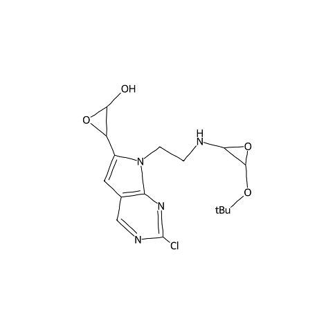 CC(C)(C)OC1OC1NCCn1c(C2OC2O)cc2cnc(Cl)nc21